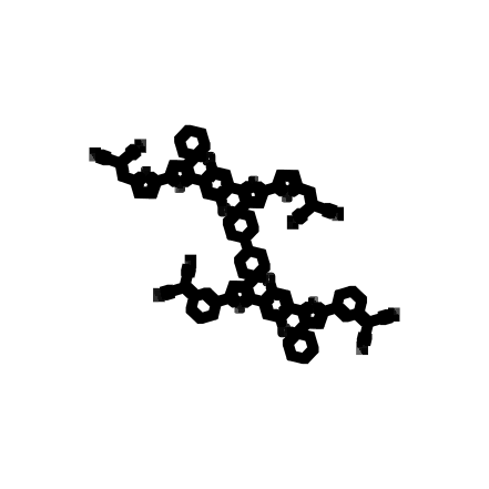 N#CC(C#N)=Cc1ccc(-c2cc3c(s2)-c2cc4c(cc2OC32CCCCC2)-c2sc(-c3ccc(C=C(C#N)C#N)s3)cc2C2(CCC(C3CCC5(CC3)Oc3cc6c(cc3-c3sc(C7=CC(=C(C#N)C#N)CCC7)cc35)OC3(CCCCC3)c3cc(C5=CC(=C(C#N)C#N)CCC5)sc3-6)CC2)O4)s1